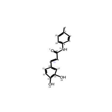 Cc1ccc(NC(=O)/C=C/c2ccc(O)c(O)c2)cc1